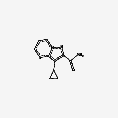 NC(=O)c1nn2cccnc2c1C1CC1